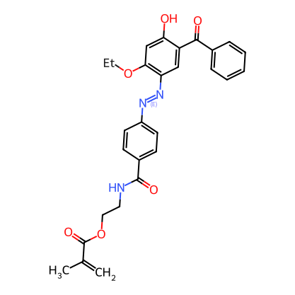 C=C(C)C(=O)OCCNC(=O)c1ccc(/N=N/c2cc(C(=O)c3ccccc3)c(O)cc2OCC)cc1